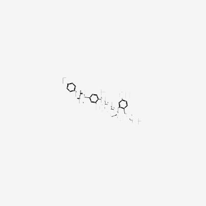 Cc1ccc(COCC(F)(F)F)c(N2C(=O)CS/C2=N\C(=O)Nc2ccc(-c3ncn(-c4ccc(F)cc4)n3)cc2F)c1